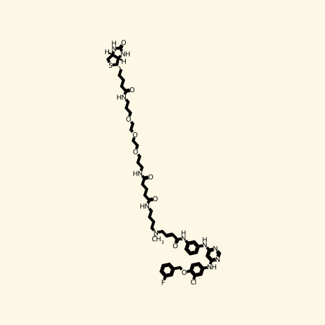 CN(C/C=C/C(=O)Nc1cccc(Nc2cc(Nc3ccc(OCc4cccc(F)c4)c(Cl)c3)ncn2)c1)CCCCNC(=O)CCCC(=O)NCCCOCCOCCOCCCNC(=O)CCCC[C@@H]1SC[C@@H]2NC(=O)N[C@@H]21